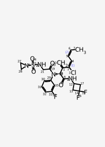 C=C(/C(Cl)=C\C=C/C)[C@@H](C(=O)NC1CC(F)(F)C1)N(C(=O)CNS(=O)(=O)N1CC1)c1cccc(F)c1